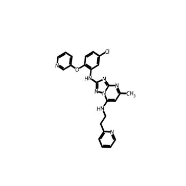 Cc1cc(NCCc2ccccn2)n2nc(Nc3cc(Cl)ccc3Oc3cccnc3)nc2n1